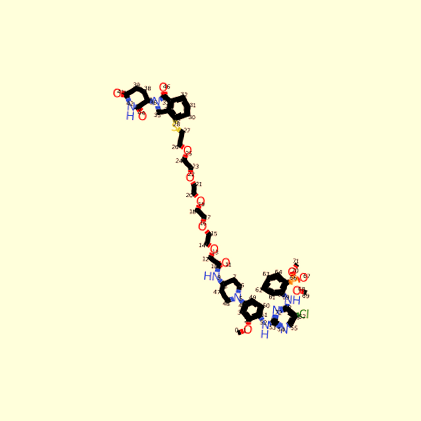 COc1cc(N2CCC(NC(=O)COCCOCCOCCOCCOCCSc3cccc4c3CN(C3CCC(=O)NC3=O)C4=O)CC2)ccc1Nc1ncc(Cl)c(Nc2ccccc2P(=O)(OC)OC)n1